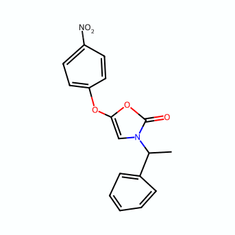 CC(c1ccccc1)n1cc(Oc2ccc([N+](=O)[O-])cc2)oc1=O